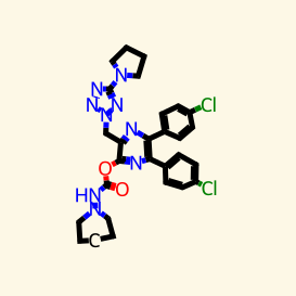 O=C(NN1CCCCC1)Oc1nc(-c2ccc(Cl)cc2)c(-c2ccc(Cl)cc2)nc1Cn1nnc(N2CCCC2)n1